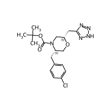 CC(C)(C)OC(=O)N1C[C@H](Cc2nn[nH]n2)OC[C@@H]1Cc1ccc(Cl)cc1